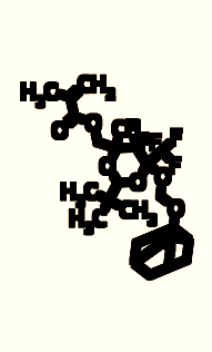 C=C(C)C(=O)OCC1(C)OC(C(C)(C)C)OC(OCOC2C3CC4CC(C3)CC2C4)(C(F)(F)F)C1(F)F